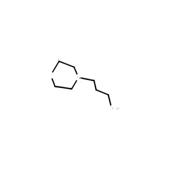 [CH2]CCCCCCCN1CCOCC1